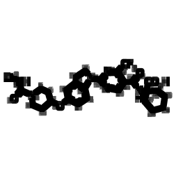 CCNC(=O)N1CCC(Oc2ccc3c(c2)CCN3c2ncc(C(=O)NC3(C(=O)O)CCCCC3)c(C(F)(F)F)n2)CC1